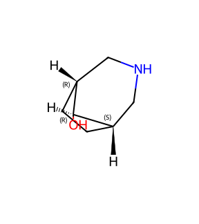 O[C@H]1[C@@H]2CC[C@H]1CNC2